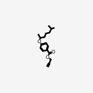 C#CCOC(=O)c1ccc(OC(C)CCCC(C)C)cc1